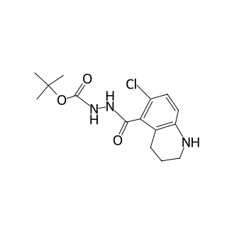 CC(C)(C)OC(=O)NNC(=O)c1c(Cl)ccc2c1CCCN2